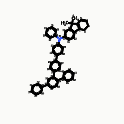 CC1(C)C2=C(CCC=C2)c2ccc(N(c3ccccc3)c3ccc(-c4ccc(-c5cc(-c6ccccc6)ccc5-c5ccccc5)cc4)cc3)cc21